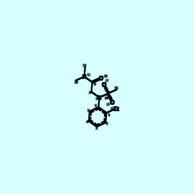 CCc1ccccc1N(CC(=O)N(C)C)S(C)(=O)=O